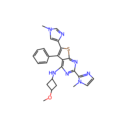 COC1CC(Nc2nc(-c3nccn3C)nc3sc(-c4cn(C)cn4)c(-c4ccccc4)c23)C1